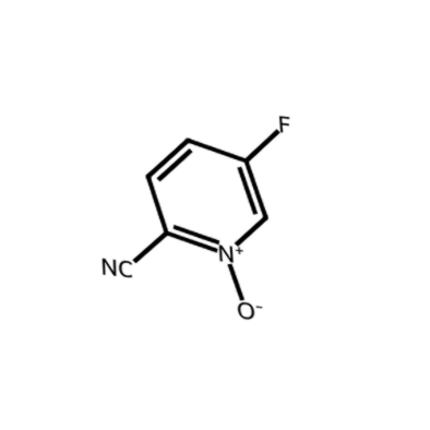 N#Cc1ccc(F)c[n+]1[O-]